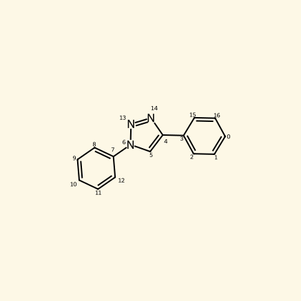 c1ccc(-c2cn(-c3ccccc3)nn2)cc1